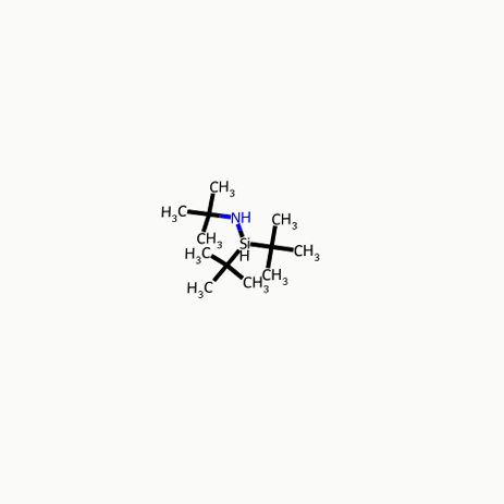 CC(C)(C)N[SiH](C(C)(C)C)C(C)(C)C